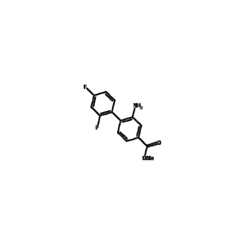 COC(=O)c1ccc(-c2ccc(F)cc2F)c(N)c1